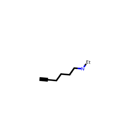 C#CCC[CH]C[N]CC